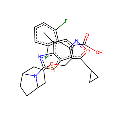 Cc1cc(C(=O)O)cc2sc(N3C4CCC3CC(OCc3c(-c5c(F)cccc5F)noc3C3CC3)C4)nc12